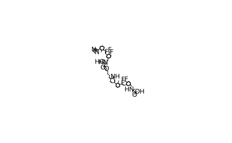 Cc1c(/C=C/c2cc(CNC(C)(C)C(=O)O)ccc2C(F)(F)F)cccc1C1=CC(=N)/C(=C\CCCCOC(=O)C(C)(CO)NCc2ccc(C(F)(F)F)c(/C=C/c3cccc(-c4cnccn4)c3C)c2)C=C1